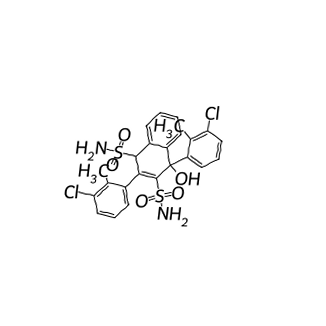 Cc1c(Cl)cccc1C1=C(S(N)(=O)=O)C(O)(c2cccc(Cl)c2C)c2ccccc2C1S(N)(=O)=O